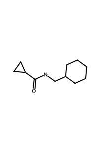 O=C([N]CC1CCCCC1)C1CC1